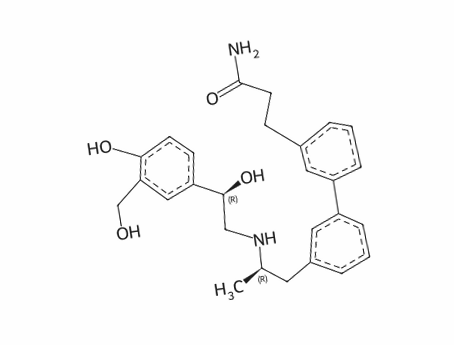 C[C@H](Cc1cccc(-c2cccc(CCC(N)=O)c2)c1)NC[C@H](O)c1ccc(O)c(CO)c1